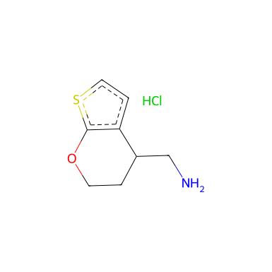 Cl.NCC1CCOc2sccc21